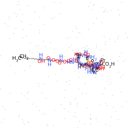 C=C(C)CCCCCCCCCCCCCCC(O)NCCCCCC(=O)NCCOCCOCC(=O)NCCOCCOCC(=O)NCCCC[C@@H]1NC(=O)[C@H](CCC)NC(O)[C@@H](NC(=O)[C@@H]2CCCN2C(=O)[C@@H](NC(=O)[C@H](Cc2cnc[nH]2)NC(=O)[C@@H](NC(O)[C@H](CCC(=O)O)NC(=O)CC(C)C)[C@@H](C)O)C(c2ccccc2)c2ccccc2)CSSC[C@@H](C(N)=O)NC(=O)CNC(O)C[C@H](Cc2ccccc2)NC1=O